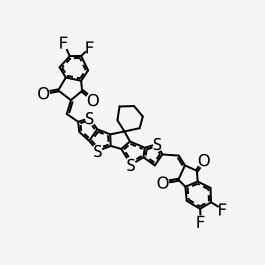 O=C1C(=Cc2cc3sc4c(c3s2)C2(CCCCC2)c2c-4sc3cc(C=C4C(=O)c5cc(F)c(F)cc5C4=O)sc23)C(=O)c2cc(F)c(F)cc21